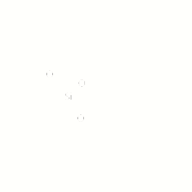 CO[Si](C)(OC)OC1CCCCC1